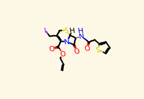 C=CCOC(=O)C1=C(CI)CS[C@@H]2[C@H](NC(=O)Cc3cccs3)C(=O)N12